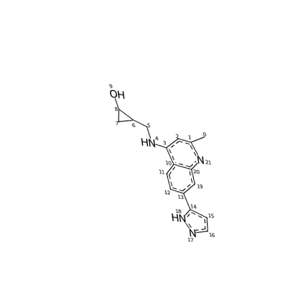 Cc1cc(NCC2CC2O)c2ccc(-c3ccn[nH]3)cc2n1